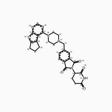 O=C1CCC(N2C(=O)c3ccc(CN4CCN(c5ncnc6sc7c(c56)CCC7)CC4)cc3C2=O)C(=O)N1